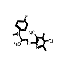 Cc1nc(OCC(O)N(C)c2ccc(F)cc2)c(C#N)c(C)c1Cl